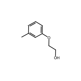 Cc1[c]ccc(OCCO)c1